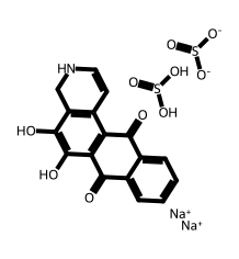 O=C1c2ccccc2C(=O)c2c3c(c(O)c(O)c21)CNC=C3.O=S(O)O.O=S([O-])[O-].[Na+].[Na+]